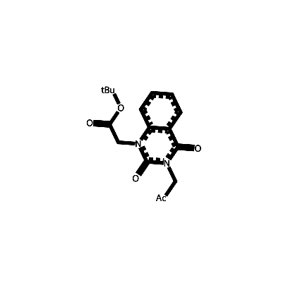 CC(=O)Cn1c(=O)c2ccccc2n(CC(=O)OC(C)(C)C)c1=O